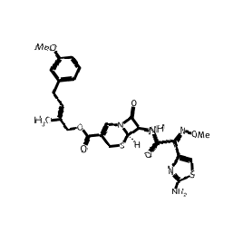 CON=C(C(=O)NC1C(=O)N2C=C(C(=O)OCC(C)=CCc3cccc(OC)c3)CS[C@H]12)c1csc(N)n1